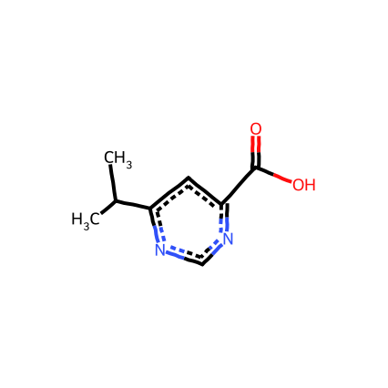 CC(C)c1cc(C(=O)O)ncn1